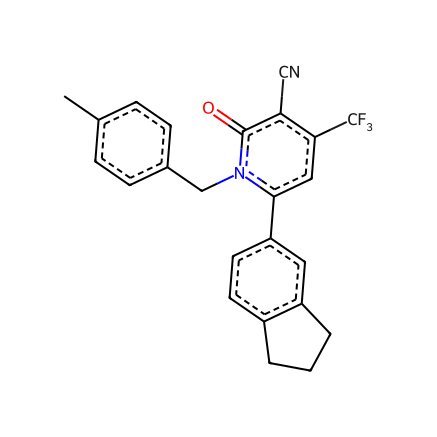 Cc1ccc(Cn2c(-c3ccc4c(c3)CCC4)cc(C(F)(F)F)c(C#N)c2=O)cc1